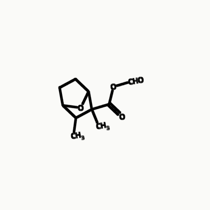 CC1C2CCC(O2)C1(C)C(=O)OC=O